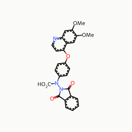 COc1cc2nccc(Oc3ccc(N(C(=O)O)N4C(=O)c5ccccc5C4=O)cc3)c2cc1OC